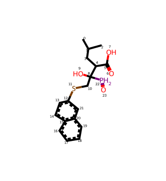 CC(C)CC(C(=O)O)C(O)(CSc1ccc2ccccc2c1)[PH2]=O